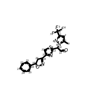 Cc1cc(C(F)(F)F)nn1C([C]=O)c1nc(C2=NOC(c3ccccc3)C2)cs1